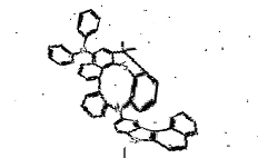 CC1(C)c2cccc3c2Sc2c1cc(N(c1ccccc1)c1ccccc1)c1cccc(c21)-c1ccccc1N3c1ccc2sc3ccc4ccccc4c3c2c1